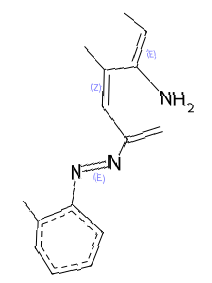 C=C(/C=C(C)\C(N)=C/C)/N=N/c1ccccc1C